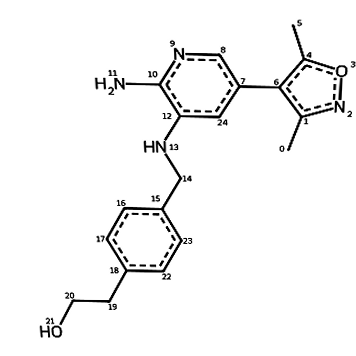 Cc1noc(C)c1-c1cnc(N)c(NCc2ccc(CCO)cc2)c1